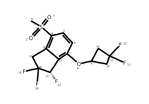 CS(=O)(=O)c1ccc(OC2CC(F)(F)C2)c2c1CC(F)(F)[C@H]2F